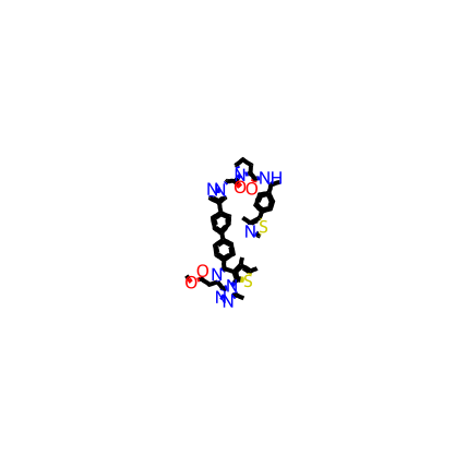 COC(=O)CC1N=C(c2ccc(-c3ccc(-c4cnn(CC(=O)N5CCCC5C(=O)NC(C)c5ccc(-c6scnc6C)cc5)c4)cc3)cc2)c2c(sc(C)c2C)-n2c(C)nnc21